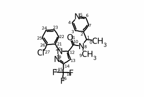 CC(c1ccncc1)N(C)C(=O)c1cc(C(F)(F)F)nn1-c1ccccc1Cl